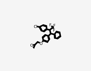 FC(F)(F)C(c1ccc(Cl)cc1)C(c1ccccc1)c1ccc(OCC2CO2)cc1